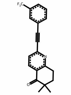 CC1(C)CCc2nc(C#Cc3cccc(C(F)(F)F)c3)ccc2C1=O